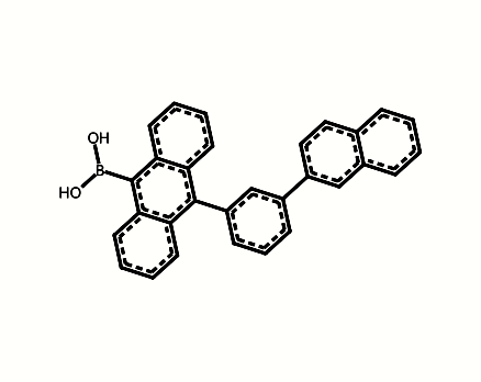 OB(O)c1c2ccccc2c(-c2cccc(-c3ccc4ccccc4c3)c2)c2ccccc12